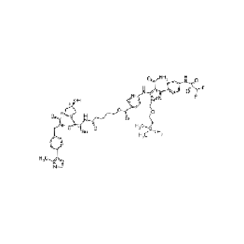 Cc1ncsc1-c1ccc(CNC(=O)[C@@H]2C[C@@H](O)CN2C(=O)[C@@H](NC(=O)CCCCOC(=O)c2ccc(Nc3c(C(N)=O)c(-c4ccc(NS(=O)(=O)C(F)F)cc4)nn3COCC[Si](C)(C)C)nc2)C(C)(C)C)cc1